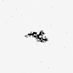 COCC(F)(F)c1ccn2c(-c3cnc[nH]3)c(-c3nc(C(F)(F)F)n[nH]3)nc2n1